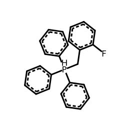 Fc1ccccc1C[PH](c1ccccc1)(c1ccccc1)c1ccccc1